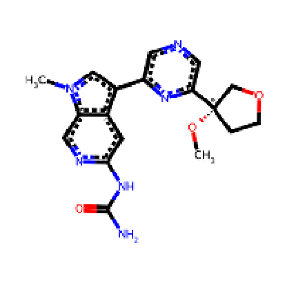 CO[C@@]1(c2cncc(-c3cn(C)c4cnc(NC(N)=O)cc34)n2)CCOC1